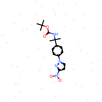 CC(C)(C)OC(=O)NC(C)(C)c1ccc(-n2ccc([N+](=O)[O-])n2)cc1